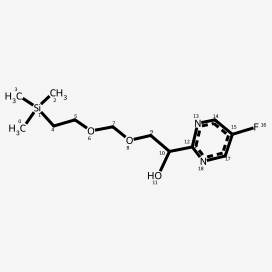 C[Si](C)(C)CCOCOCC(O)c1ncc(F)cn1